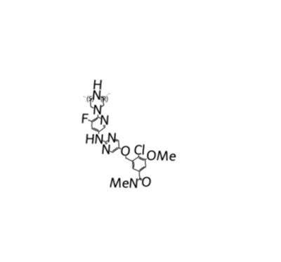 CNC(=O)c1cc(COc2cnc(Nc3cnc(N4C[C@@H](C)N[C@@H](C)C4)c(F)c3)nc2)c(Cl)c(OC)c1